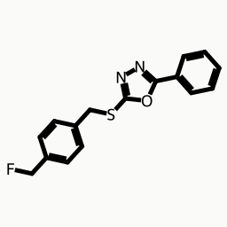 FCc1ccc(CSc2nnc(-c3ccccc3)o2)cc1